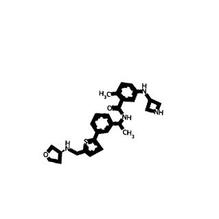 Cc1ccc(NC2CNC2)cc1C(=O)NC(C)c1cccc(-c2ccc(CN[C@@H]3CCOC3)s2)c1